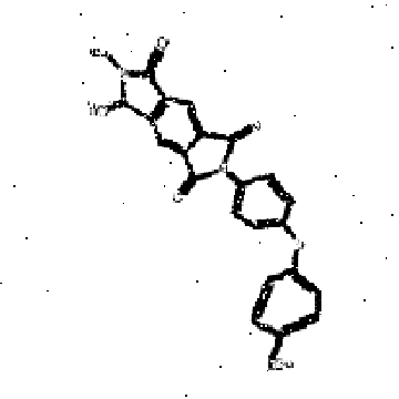 CC(C)(C)c1ccc(Oc2ccc(N3C(=O)c4cc5c(cc4C3=O)C(O)N(C(C)(C)C)C5=O)cc2)cc1